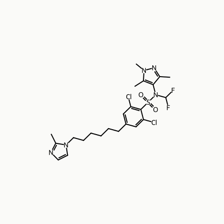 Cc1nn(C)c(C)c1N(C(F)F)S(=O)(=O)c1c(Cl)cc(CCCCCCn2ccnc2C)cc1Cl